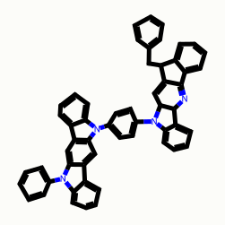 C1=C2C(=NC3c4ccccc4N(c4ccc(-n5c6ccccc6c6cc7c(cc65)c5ccccc5n7-c5ccccc5)cc4)C13)c1ccccc1C2Cc1ccccc1